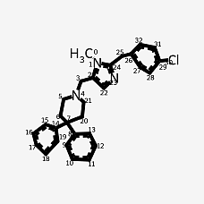 Cn1c(CN2CCC(c3ccccc3)(c3ccccc3)CC2)cnc1Cc1ccc(Cl)cc1